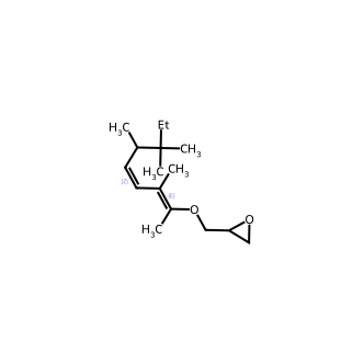 CCC(C)(C)C(C)/C=C\C(C)=C(/C)OCC1CO1